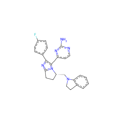 Nc1nccc(-c2c(-c3ccc(F)cc3)nc3n2[C@H](CN2CCc4ccccc42)CC3)n1